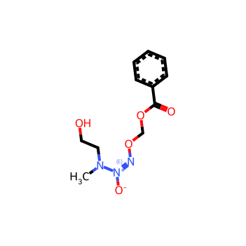 CN(CCO)/[N+]([O-])=N\OCOC(=O)c1ccccc1